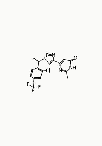 Cc1nc(-c2cn(C(C)c3ccc(C(F)(F)F)cc3Cl)nn2)cc(=O)[nH]1